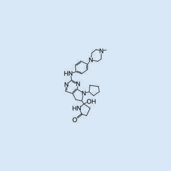 CN1CCN(c2ccc(Nc3ncc4c(n3)N(C3CCCC3)C(C3(O)CCC(=O)N3)C4)cc2)CC1